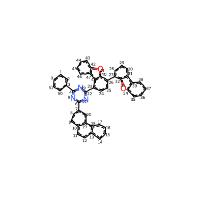 c1ccc(-c2nc(-c3ccc4ccc5ccccc5c4c3)nc(-c3ccc(-c4cccc5c4oc4ccccc45)c4oc5ccccc5c34)n2)cc1